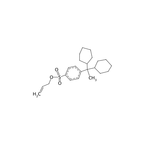 C=CCOS(=O)(=O)c1ccc(C(C)(C2CCCCC2)C2CCCCC2)cc1